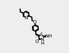 CCc1ccc(CCOc2ccc(/C=C3\SC(=N)NC3=O)cc2)nc1